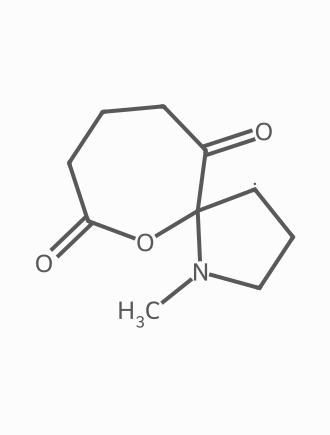 CN1CC[CH]C12OC(=O)CCCC2=O